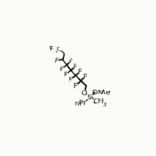 CCC[Si](C)(OC)OCC(F)(F)C(F)(F)C(F)(F)C(F)(F)C(F)CC(F)(F)F